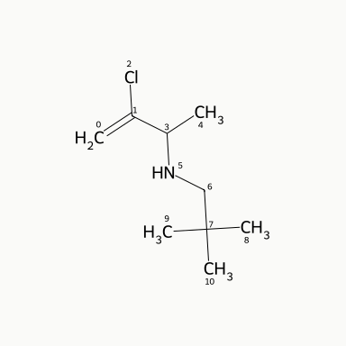 C=C(Cl)C(C)NCC(C)(C)C